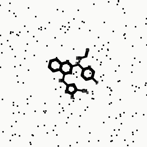 Cc1cc(Nc2nc([C@H](NC=O)c3ccc(F)cn3)nc3ccccc23)n[nH]1